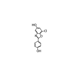 Oc1ccc(-c2nc3cc(O)cc(Cl)c3o2)cc1